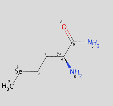 C[Se]CC[C@H](N)C(N)=O